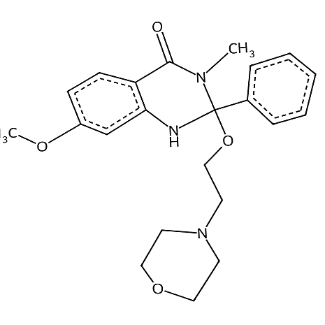 COc1ccc2c(c1)NC(OCCN1CCOCC1)(c1ccccc1)N(C)C2=O